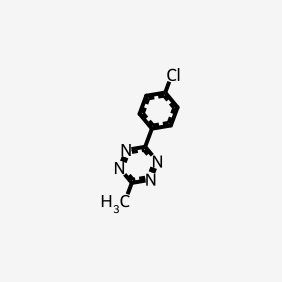 Cc1nnc(-c2ccc(Cl)cc2)nn1